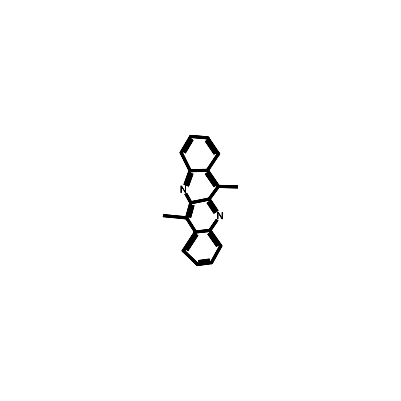 Cc1c2ccccc2nc2c(C)c3ccccc3nc12